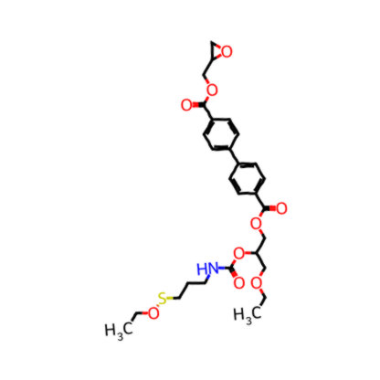 CCOCC(COC(=O)c1ccc(-c2ccc(C(=O)OCC3CO3)cc2)cc1)OC(=O)NCCCSOCC